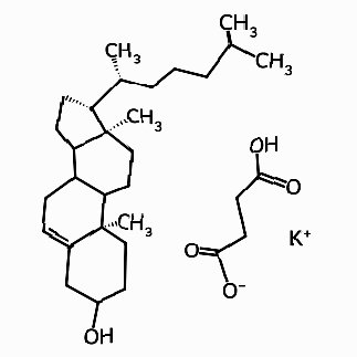 CC(C)CCC[C@@H](C)[C@H]1CCC2C3CC=C4CC(O)CC[C@]4(C)C3CC[C@@]21C.O=C([O-])CCC(=O)O.[K+]